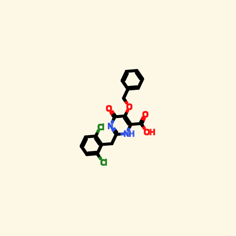 O=C(O)c1[nH]c(Cc2c(Cl)cccc2Cl)nc(=O)c1OCc1ccccc1